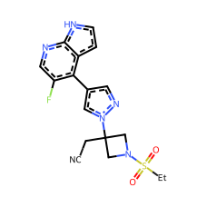 CCS(=O)(=O)N1CC(CC#N)(n2cc(-c3c(F)cnc4[nH]ccc34)cn2)C1